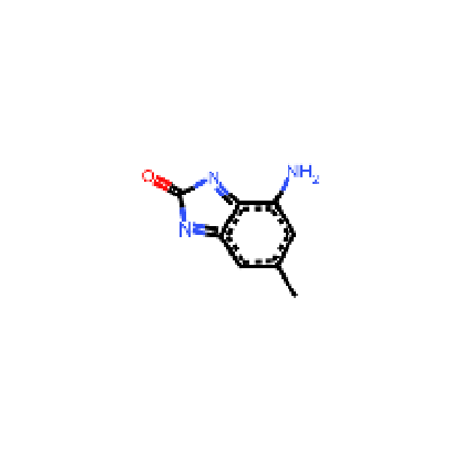 Cc1cc(N)c2c(c1)=NC(=O)N=2